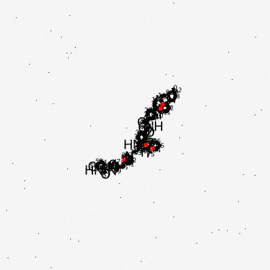 CC1(C)CCC(c2ccc(Cl)cc2)=C(CN2CCN(c3ccc(C(=O)NS(=O)(=O)c4ccc(N[C@H](CCN5CC6CCC5CN6Cc5ccc(N6CCC(=O)NC6=O)nc5)CSc5ccccc5)c(S(=O)(=O)C(F)(F)F)c4)cc3)CC2)C1